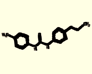 CCCc1ccc(NC(=O)Nc2ccc(C)cc2)cc1